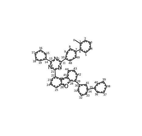 Cc1ccccc1-c1ccc(-c2nc(-c3ccccc3)nc(-c3cccc4oc5c(-c6cccc(-c7ccccc7)c6)cccc5c34)n2)cc1